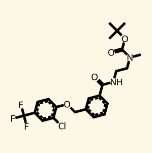 CN(CCNC(=O)c1cccc(COc2ccc(C(F)(F)F)cc2Cl)c1)C(=O)OC(C)(C)C